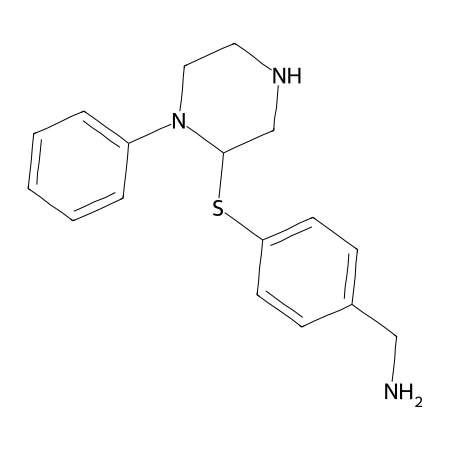 NCc1ccc(SC2CNCCN2c2ccccc2)cc1